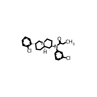 CCC(=O)N(c1cccc(Cl)c1)[C@@H]1CCN2C[C@@H](c3ccccc3Cl)CC[C@@H]2C1